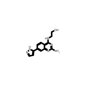 Nc1nc(NCCO)c2ccc(-c3ccn[nH]3)cc2n1